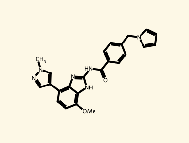 COc1ccc(-c2cnn(C)c2)c2nc(NC(=O)c3ccc(Cn4cccc4)cc3)[nH]c12